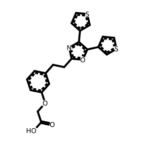 O=C(O)COc1cccc(CCc2nc(-c3ccsc3)c(-c3ccsc3)o2)c1